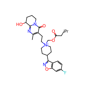 Cc1nc2n(c(=O)c1CC[N+]1(COC(=O)CC(C)C)CCC(c3noc4cc(F)ccc34)CC1)CCCC2O